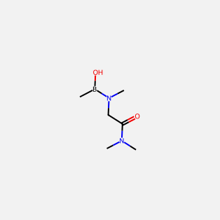 CB(O)N(C)CC(=O)N(C)C